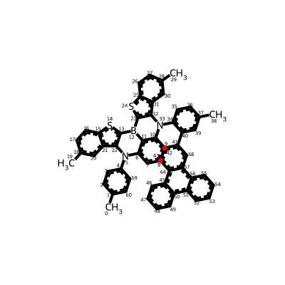 Cc1ccc(N2c3cccc4c3B(c3sc5ccc(C)cc5c32)c2sc3ccc(C)cc3c2N4c2ccc(C)cc2-c2ccc3c4ccccc4c4ccccc4c3c2)cc1